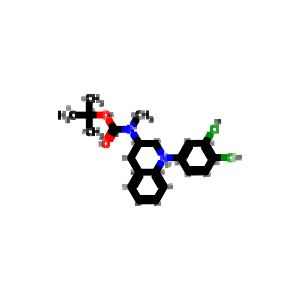 CN(C(=O)OC(C)(C)C)C1Cc2ccccc2N(c2ccc(Cl)c(Cl)c2)C1